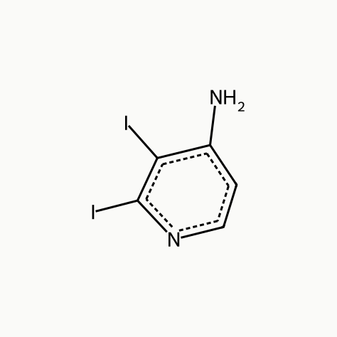 Nc1ccnc(I)c1I